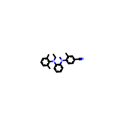 CCN(c1ccccc1N(C)c1ccc(C#N)cc1C)c1c(C)cccc1C